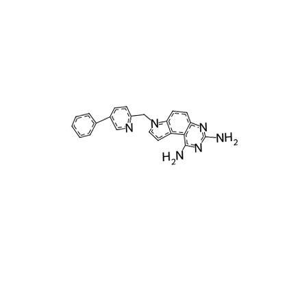 Nc1nc(N)c2c(ccc3c2ccn3Cc2ccc(-c3ccccc3)cn2)n1